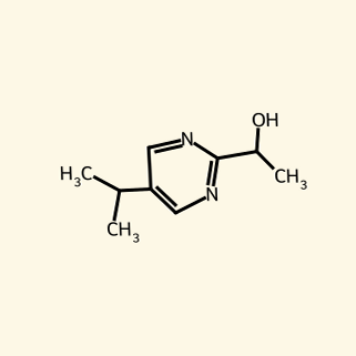 CC(C)c1cnc(C(C)O)nc1